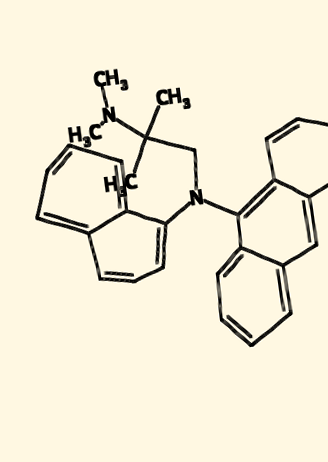 CN(C)C(C)(C)CN(c1cccc2ccccc12)c1c2ccccc2cc2ccccc12